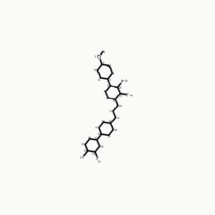 COC1CCC(C2CCC(CCCC3CCC(C4CCC(I)C(F)C4)CC3)C(F)C2F)CC1